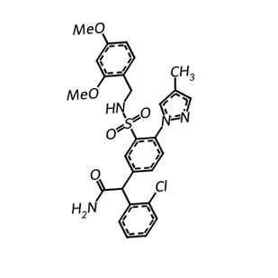 COc1ccc(CNS(=O)(=O)c2cc(C(C(N)=O)c3ccccc3Cl)ccc2-n2cc(C)cn2)c(OC)c1